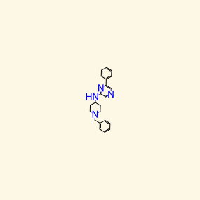 c1ccc(CN2CCC(Nc3cncc(-c4ccccc4)n3)CC2)cc1